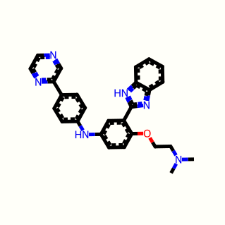 CN(C)CCOc1ccc(Nc2ccc(-c3cnccn3)cc2)cc1-c1nc2ccccc2[nH]1